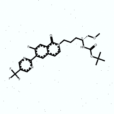 COC[C@@H](CCCn1ccc2cc(-c3ncc(C(F)(F)F)cn3)c(F)cc2c1=O)NC(=O)OC(C)(C)C